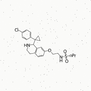 CCCS(=O)(=O)NCCOc1ccc2c(c1)C(C1(c3ccc(Cl)cc3)CC1)NCC2